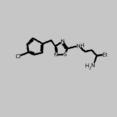 CCC(N)CCNc1nc(Cc2ccc(Cl)cc2)ns1